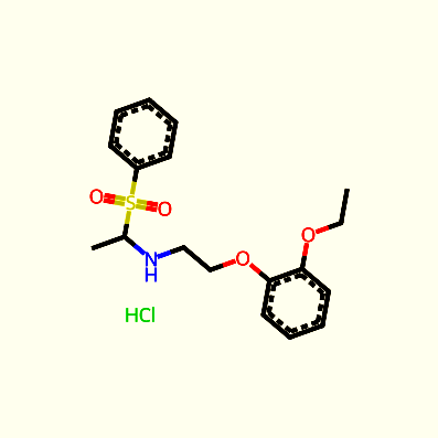 CCOc1ccccc1OCCNC(C)S(=O)(=O)c1ccccc1.Cl